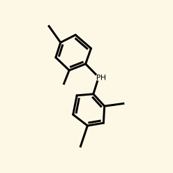 Cc1ccc(Pc2ccc(C)cc2C)c(C)c1